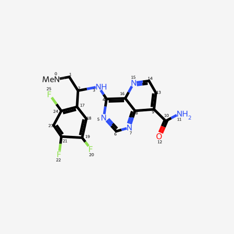 CNCC(Nc1ncnc2c(C(N)=O)ccnc12)c1cc(F)c(F)cc1F